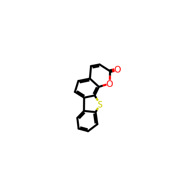 O=c1ccc2ccc3c4ccccc4sc3c2o1